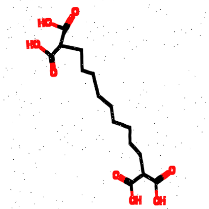 O=C(O)C(CCCCCCCCCC(C(=O)O)C(=O)O)C(=O)O